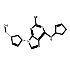 Nc1nc(NC2C=CCC2)c2ncn([C@@H]3C=C[C@H](CO)C3)c2n1